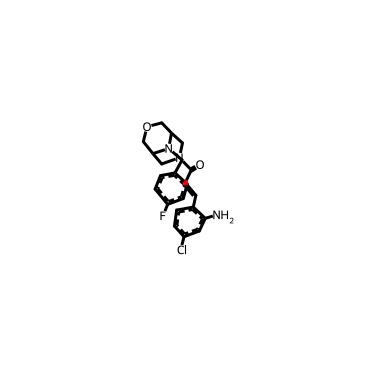 Nc1cc(Cl)ccc1/C=C/C(=O)N1CC2COCC(C1)N2Cc1ccc(F)cc1